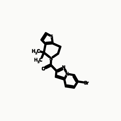 CC1(C)c2ccsc2CCN1C(=O)c1cc2ccc(Br)cn2n1